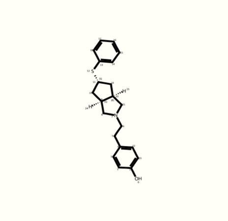 Oc1ccc(CCN2C[C@H]3C[C@H](Sc4ccccc4)C[C@H]3C2)cc1